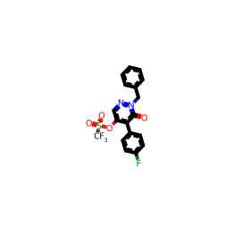 O=c1c(-c2ccc(F)cc2)c(OS(=O)(=O)C(F)(F)F)cnn1Cc1ccccc1